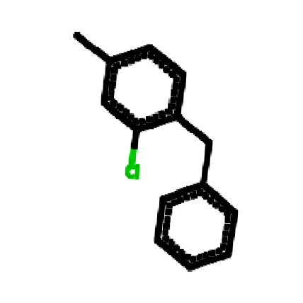 Cc1ccc(Cc2ccccc2)c(Cl)c1